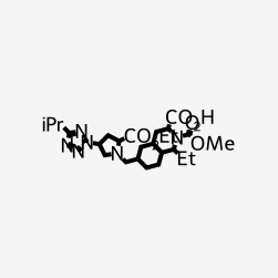 CCOC(=O)C1CC(n2nnc(C(C)C)n2)CN1CC1CCC2C(C1)CC(C(=O)O)N(C(=O)OC)C2CC